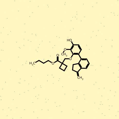 C=C1CCc2c1cccc2-c1ccc(O)c(OC)c1OCC1(C(=O)OCCCC)CCC1